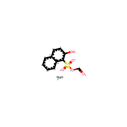 O=COS(=O)(=O)c1c(O)ccc2ccccc12.[NaH]